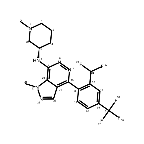 CN1CCC[C@@H](Nc2nnc(-c3ccc(C(F)(F)F)cc3C(F)F)c3cnn(C)c23)C1